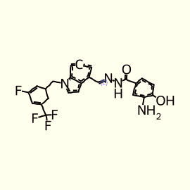 Nc1cc(C(=O)N/N=C/c2cccc3c2ccn3CC2C=C(F)C=C(C(F)(F)F)C2)ccc1O